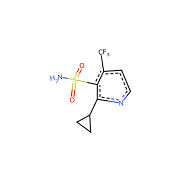 NS(=O)(=O)c1c(C(F)(F)F)ccnc1C1CC1